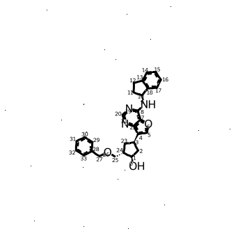 O[C@@H]1C[C@H](c2coc3c(N[C@H]4CCc5ccccc54)ncnc23)C[C@H]1COCc1ccccc1